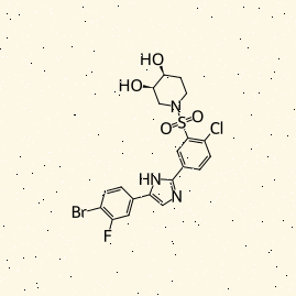 O=S(=O)(c1cc(-c2ncc(-c3ccc(Br)c(F)c3)[nH]2)ccc1Cl)N1CC[C@H](O)[C@H](O)C1